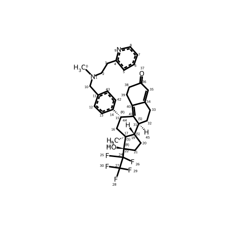 CN(CCc1ccccn1)Cc1ccc([C@H]2C[C@@]3(C)[C@@H](CC[C@]3(O)C(F)(F)C(F)(F)F)[C@@H]3CCC4=CC(=O)CCC4=C32)cc1